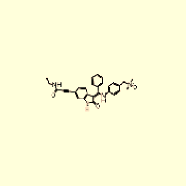 CCNC(=O)C#Cc1ccc2c(c1)NC(=O)/C2=C(\Nc1ccc(C[N+](C)(C)[O-])cc1)c1ccccc1